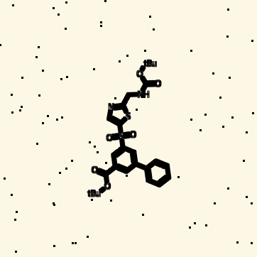 CC(C)(C)OC(=O)NCc1ncc(S(=O)(=O)c2cc(C(=O)OC(C)(C)C)cc(-c3ccccc3)c2)s1